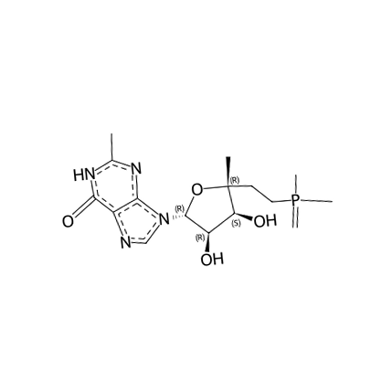 C=P(C)(C)CC[C@@]1(C)O[C@@H](n2cnc3c(=O)[nH]c(C)nc32)[C@H](O)[C@@H]1O